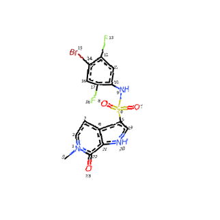 Cn1ccc2c(S(=O)(=O)Nc3cc(F)c(Br)cc3F)c[nH]c2c1=O